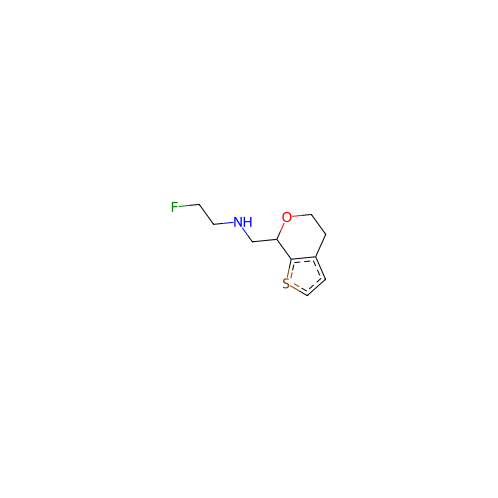 FCCNCC1OCCc2ccsc21